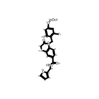 CCCCCCCCOc1cc(F)c(CN2C(=O)CSc3cc(C(=O)NCc4ccco4)ccc32)c(F)c1